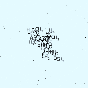 C=CCCC(NC(=O)[C@@H]1[C@@H]2[C@H](CN1C(=O)[C@H](NC(=O)OC(C)(C)C)C(C)(C)C)C2(C)C)C(=O)C(=O)NCC(=O)OC